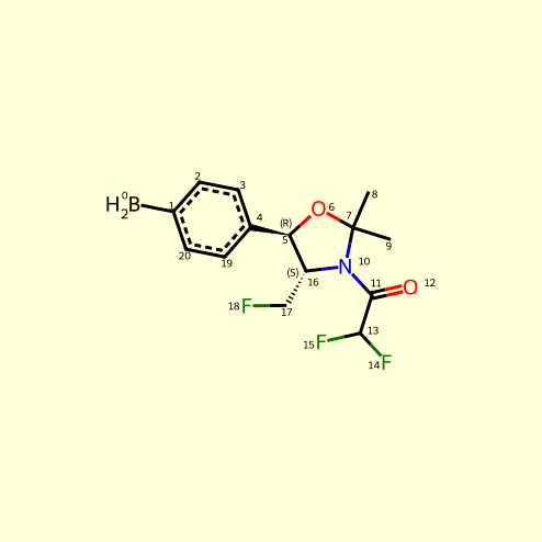 Bc1ccc([C@H]2OC(C)(C)N(C(=O)C(F)F)[C@@H]2CF)cc1